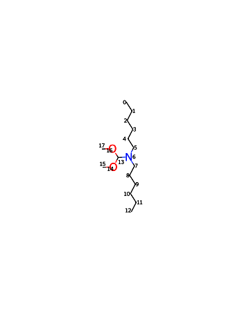 CCCCCCN(CCCCCC)C(OC)OC